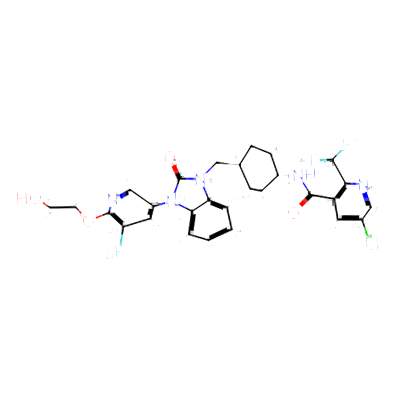 O=C(N[C@H]1CC[C@H](Cn2c(=O)n(-c3cnc(OCCO)c(F)c3)c3ccccc32)CC1)c1cc(Cl)cnc1C(F)F